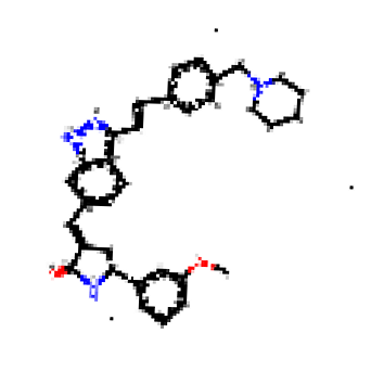 COc1cccc(C2C/C(=C\c3ccc4c(/C=C/c5ccc(CN6CCCCC6)cc5)n[nH]c4c3)C(=O)N2)c1